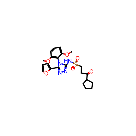 COc1cccc(OC)c1-n1c(NS(=O)(=O)CCC(=O)C2CCCC2)nnc1-c1ccco1